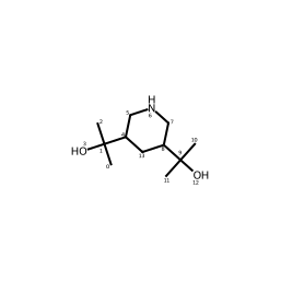 CC(C)(O)C1CNCC(C(C)(C)O)C1